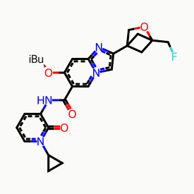 CC[C@@H](C)Oc1cc2nc(C34COC(CF)(C3)C4)cn2cc1C(=O)Nc1cccn(C2CC2)c1=O